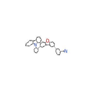 N#Cc1cccc(-c2ccc3oc4ccc(-c5ccccc5-n5c6ccccc6c6ccccc65)cc4c3c2)c1